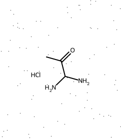 CC(=O)C(N)N.Cl